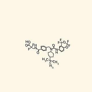 CC(C)(C)C1CCC(N(Cc2ccc(C(=O)NCC(F)(F)C(=O)O)cc2)C(=O)Nc2ccc3c(c2)C(F)(F)OC(F)(F)O3)CC1